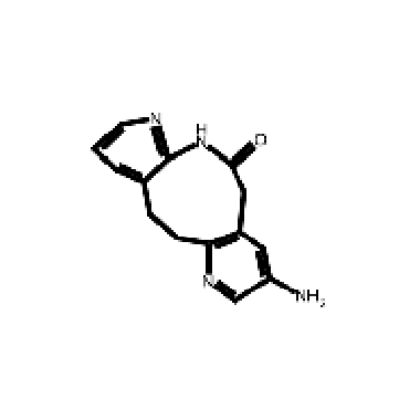 Nc1cnc2c(c1)CC(=O)Nc1ncccc1CC2